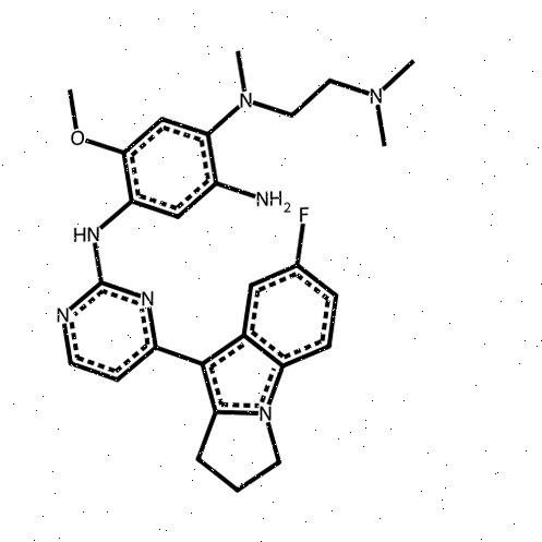 COc1cc(N(C)CCN(C)C)c(N)cc1Nc1nccc(-c2c3n(c4ccc(F)cc24)CCC3)n1